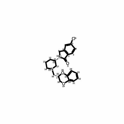 O=C1c2ccc(Cl)cc2CN1[C@H]1CCCN(C[C@H]2COc3ccccc3O2)C1